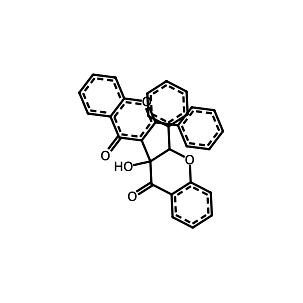 O=C1c2ccccc2OC(c2ccccc2)C1(O)c1c(-c2ccccc2)oc2ccccc2c1=O